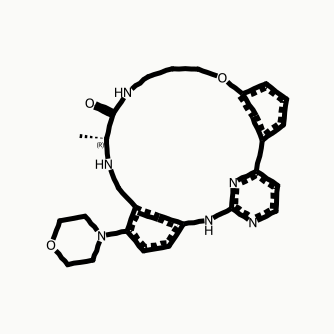 C[C@H]1NCc2cc(ccc2N2CCOCC2)Nc2nccc(n2)-c2cccc(c2)OCCCNC1=O